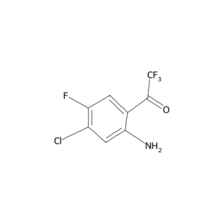 Nc1cc(Cl)c(F)cc1C(=O)C(F)(F)F